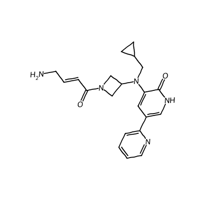 NC/C=C/C(=O)N1CC(N(CC2CC2)c2cc(-c3ccccn3)c[nH]c2=O)C1